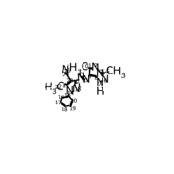 Cc1nn2c(C)n[nH]c2c1N=Nc1nn(-c2ccccc2)c(C)c1C#N